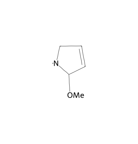 COC1C=CC[N]1